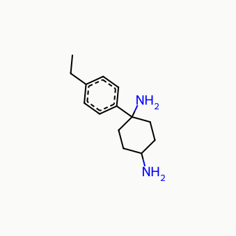 CCc1ccc(C2(N)CCC(N)CC2)cc1